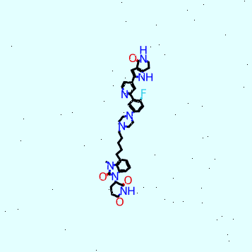 Cn1c(=O)n(C2CCC(=O)NC2=O)c2cccc(CCCCCN3CCN(c4ccc(F)c(-c5cc(-c6cc7c([nH]6)CCNC7=O)ccn5)c4)CC3)c21